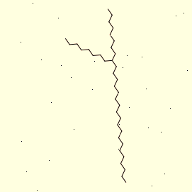 CCCCCCCCCCCCCCCCCCCC(CCCCCCCC)CCCCCCCC